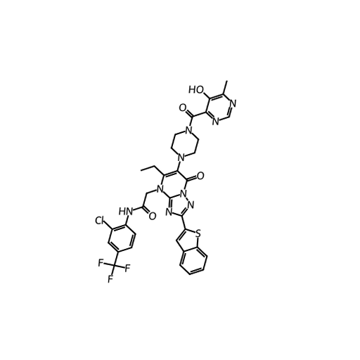 CCc1c(N2CCN(C(=O)c3ncnc(C)c3O)CC2)c(=O)n2nc(-c3cc4ccccc4s3)nc2n1CC(=O)Nc1ccc(C(F)(F)F)cc1Cl